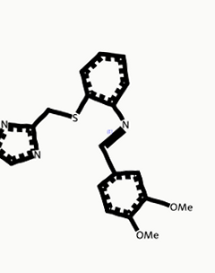 COc1ccc(/C=N/c2ccccc2SCc2ncon2)cc1OC